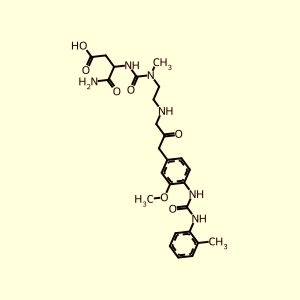 COc1cc(CC(=O)CNCCN(C)C(=O)NC(CC(=O)O)C(N)=O)ccc1NC(=O)Nc1ccccc1C